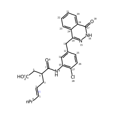 CCC/C=C/CC(CC(=O)O)C(=O)Nc1cc(Cc2n[nH]c(=O)c3ccccc23)ccc1Cl